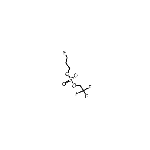 O=S(=O)(OCCCF)OCC(F)(F)F